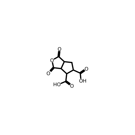 O=C(O)C1CC2C(=O)OC(=O)C2C1C(=O)O